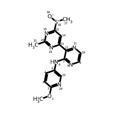 COc1ccc(Nc2nccnc2-c2cc([S+](C)[O-])nc(C)n2)cn1